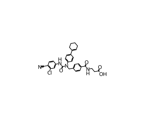 N#Cc1ccc(NC(=O)N(Cc2ccc(C(=O)NCCC(=O)O)cc2)c2ccc(C3=CCCCC3)cc2)cc1Cl